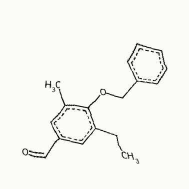 CCc1cc(C=O)cc(C)c1OCc1ccccc1